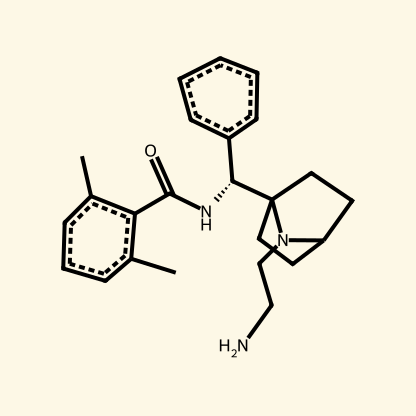 Cc1cccc(C)c1C(=O)N[C@H](c1ccccc1)C12CCC(CC1)N2CCN